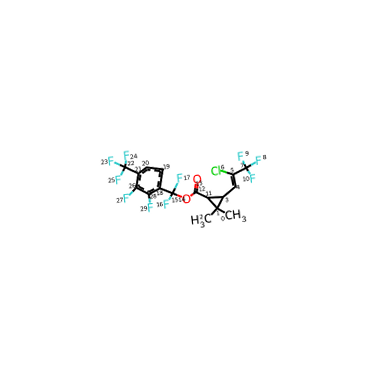 CC1(C)C(C=C(Cl)C(F)(F)F)C1C(=O)OC(F)(F)c1ccc(C(F)(F)F)c(F)c1F